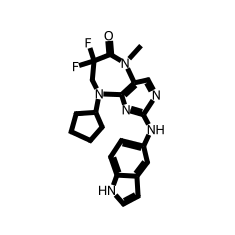 CN1C(=O)C(F)(F)CN(C2CCCC2)c2nc(Nc3ccc4[nH]ccc4c3)ncc21